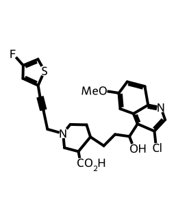 COc1ccc2ncc(Cl)c(C(O)CCC3CCN(CC#Cc4cc(F)cs4)CC3C(=O)O)c2c1